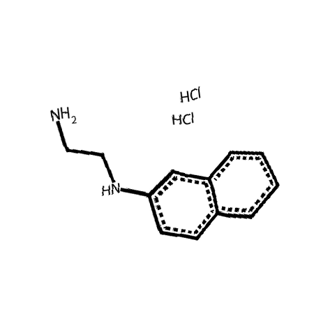 Cl.Cl.NCCNc1ccc2ccccc2c1